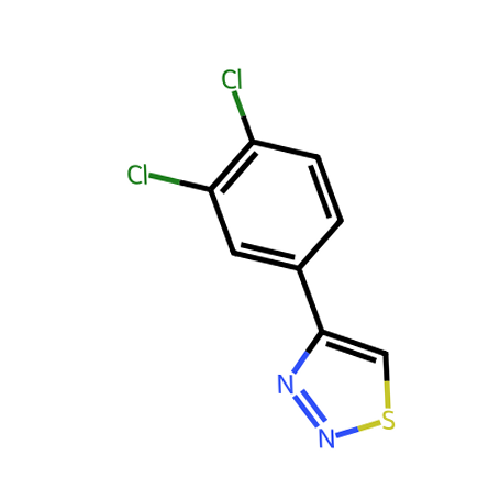 Clc1ccc(-c2csnn2)cc1Cl